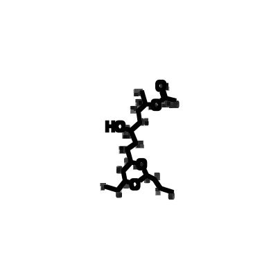 CCCC1OC(CC)CC(CCC(O)CCC(C)OC(C)=O)O1